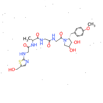 COc1ccc(C[C@@H]2[C@H](O)[C@@H](O)CN2C(=O)CNC(=O)CNC(=O)C(C)NC(=O)CNc2ncc(CO)s2)cc1